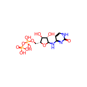 O=c1nc(NC2O[C@H](COP(=O)(O)OP(=O)(O)O)[C@@H](O)[C@@H]2O)cc[nH]1